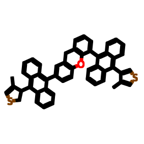 CC1=CSCC1c1c2ccccc2c(-c2ccc3c(c2)Cc2cccc(-c4c5ccccc5c(-c5cscc5C)c5ccccc45)c2O3)c2ccccc12